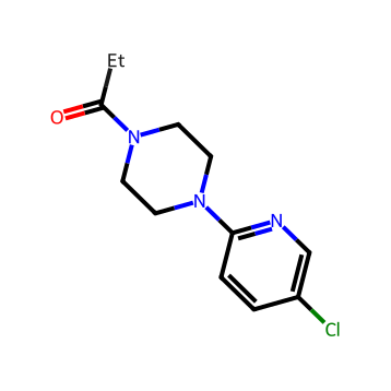 CCC(=O)N1CCN(c2ccc(Cl)cn2)CC1